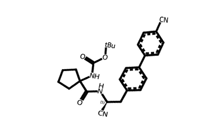 CC(C)(C)OC(=O)NC1(C(=O)N[C@H](C#N)Cc2ccc(-c3ccc(C#N)cc3)cc2)CCCC1